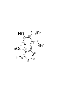 CC(C)Cc1cccc(O)c1CC(C)C.CCCCCCCCc1ccccc1O